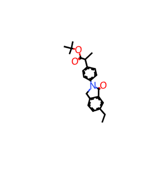 CCc1ccc2c(c1)C(=O)N(c1ccc(C(C)C(=O)OC(C)(C)C)cc1)C2